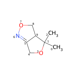 CC1(C)OCC2=NOCC21